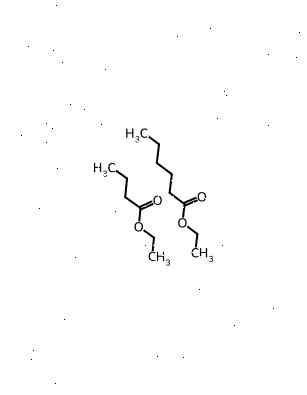 CCCC(=O)OCC.CCCCCC(=O)OCC